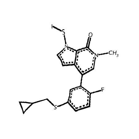 Cn1cc(-c2cc(SCC3CC3)ccc2F)c2ccn(SI)c2c1=O